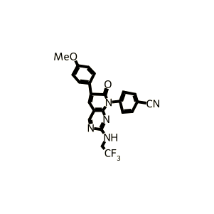 COc1ccc(-c2cc3cnc(NCC(F)(F)F)nc3n(-c3ccc(C#N)cc3)c2=O)cc1